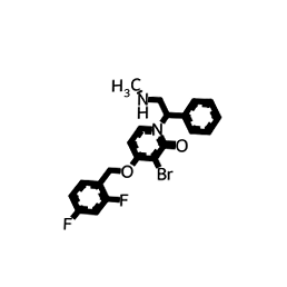 CNCC(c1ccccc1)n1ccc(OCc2ccc(F)cc2F)c(Br)c1=O